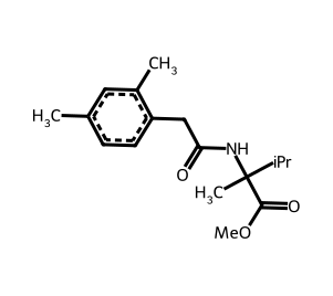 COC(=O)C(C)(NC(=O)Cc1ccc(C)cc1C)C(C)C